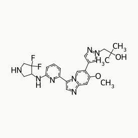 COc1cc2ncc(-c3cccc(NC4CNCC4(F)F)n3)n2cc1-c1cnn(CC(C)(C)O)c1